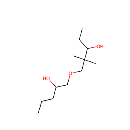 CCCC(O)COCC(C)(C)C(O)CC